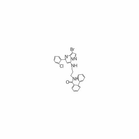 O=C(NCCCNc1cc(-c2ccccc2Cl)nc2c(Br)cnn12)c1ccccc1-c1ccccc1